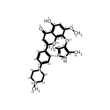 COc1cc(O)c2c(=O)cc(-c3ccc(N4CCN(C)CC4)cc3)oc2c1Oc1c(C)n[nH]c1C